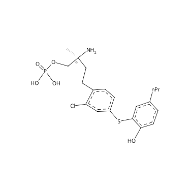 CCCc1ccc(O)c(Sc2ccc(CC[C@](C)(N)COP(=O)(O)O)c(Cl)c2)c1